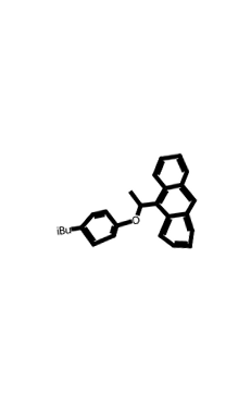 CCC(C)c1ccc(OC(C)c2c3ccccc3cc3ccccc23)cc1